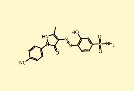 Cc1[nH]n(-c2ccc(C#N)cc2)c(=O)c1N=Nc1ccc(S(N)(=O)=O)cc1O